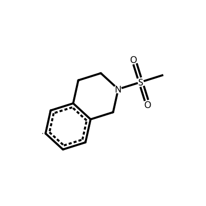 CS(=O)(=O)N1CCc2c[c]ccc2C1